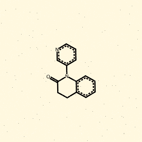 O=C1CCc2ccccc2N1c1cccnc1